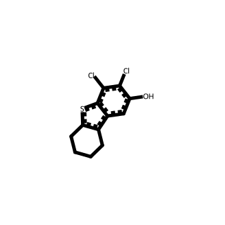 Oc1cc2c3c(sc2c(Cl)c1Cl)CCCC3